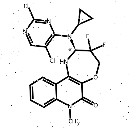 Cn1c(=O)c2c(c3ccccc31)N[C@@H](N(c1nc(Cl)ncc1Cl)C1CC1)C(F)(F)CO2